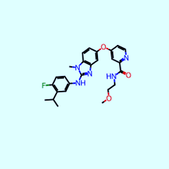 COCCNC(=O)c1cc(Oc2ccc3c(c2)nc(Nc2ccc(F)c(C(C)C)c2)n3C)ccn1